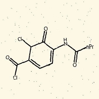 CCCC(=O)NC1=CC=C(C(=O)Cl)C(Cl)C1=O